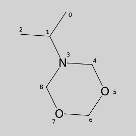 CC(C)N1COCOC1